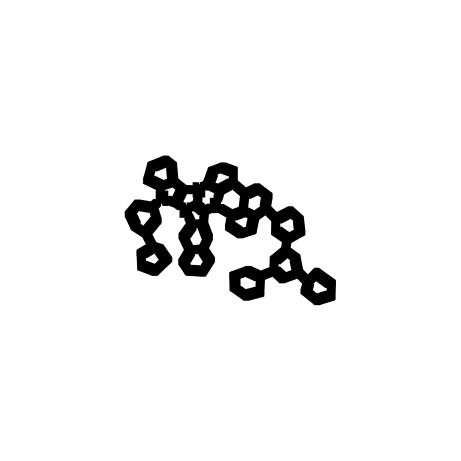 c1ccc(-c2cc(-c3ccccc3)cc(-c3cccc(-c4ccc5c6c(cccc46)B4c6c-5cccc6-n5c6c7ccccc7n(-c7cccc(-c8ccccc8)c7)c6n6c7cc8ccccc8cc7c4c56)c3)c2)cc1